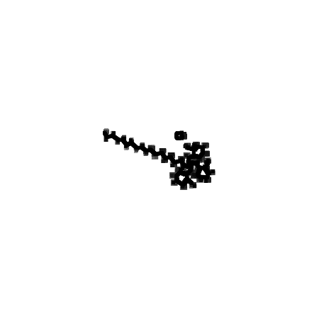 CCCCCCCCCCCCCCCCCC[N+](Cc1ccccc1C)(Cc1ccccc1C)Cc1ccccc1C.[Cl-]